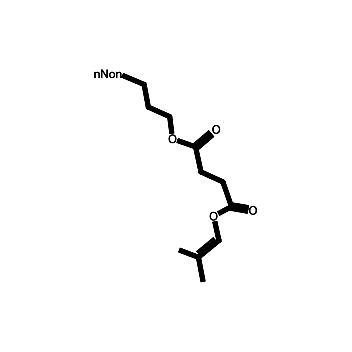 CCCCCCCCCCCCOC(=O)CCC(=O)OC=C(C)C